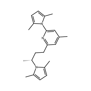 Cc1cc(CC[C@@H](C)n2c(C)ccc2C)nc(-n2c(C)ccc2C)c1